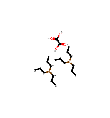 CCC[S+](CCC)CCC.CCC[S+](CCC)CCC.O=C([O-])C(=O)[O-]